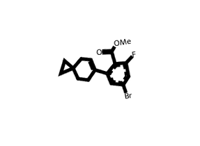 COC(=O)c1c(F)cc(Br)cc1C1=CCC2(CC1)CC2